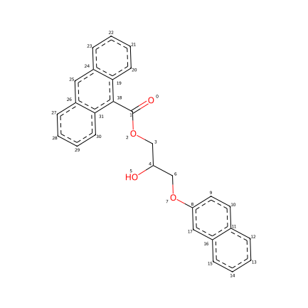 O=C(OCC(O)COc1ccc2ccccc2c1)c1c2ccccc2cc2ccccc12